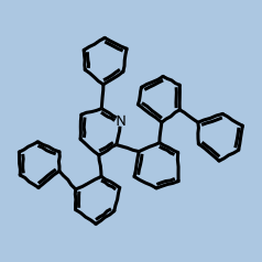 c1ccc(-c2ccc(-c3ccccc3-c3ccccc3)c(-c3ccccc3-c3ccccc3-c3ccccc3)n2)cc1